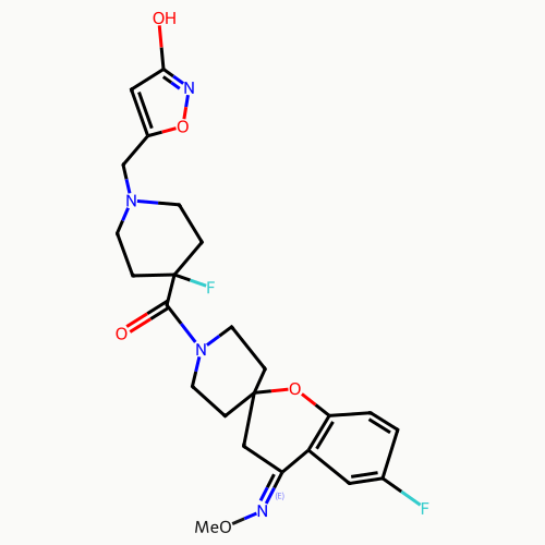 CO/N=C1\CC2(CCN(C(=O)C3(F)CCN(Cc4cc(O)no4)CC3)CC2)Oc2ccc(F)cc21